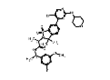 BC1(B)c2ccc(-c3nc(NC4CCOCC4)ncc3Br)cc2S(=O)(=O)N1[C@H](C)C(=O)N[C@H](C)c1cc(F)cc(OC)c1